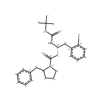 CC(C)(C)OC(=O)N[C@@H](CC(=O)N1CCCC1Cc1ccccc1)Cc1ccccc1F